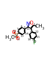 Cc1onc(-c2ccc(S(C)(=O)=O)cc2)c1-c1ccc(F)cc1